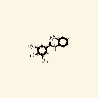 Cc1cc(C(=O)Nc2ccccc2O)cc(C)c1O